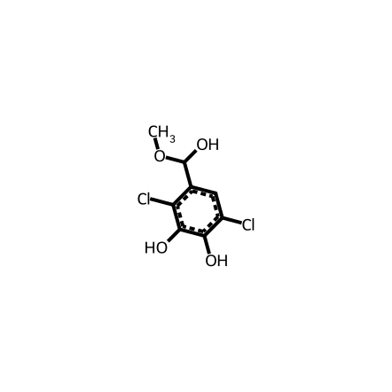 COC(O)c1cc(Cl)c(O)c(O)c1Cl